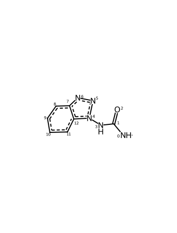 [NH]C(=O)Nn1nnc2ccccc21